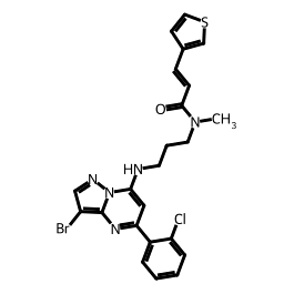 CN(CCCNc1cc(-c2ccccc2Cl)nc2c(Br)cnn12)C(=O)/C=C/c1ccsc1